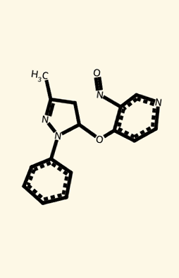 CC1=NN(c2ccccc2)C(Oc2ccncc2N=O)C1